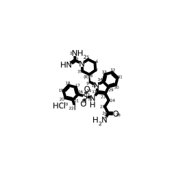 Cl.N=C(N)N1CCC[C@@H](Cn2c(NS(=O)(=O)c3ccccc3I)c(CCC(N)=O)c3ccccc32)C1